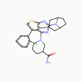 COC1CC2CCC(C1)N2c1nc(N2CCCC(C(N)=O)C2)c2c(-c3ccccc3Cl)csc2n1